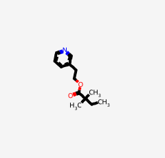 CCC(C)(C)C(=O)OCCc1cccnc1